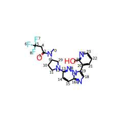 CN(C(=O)CC(F)(F)F)[C@H]1CCN(c2ccc3ncc(-c4cccnc4O)n3n2)C1